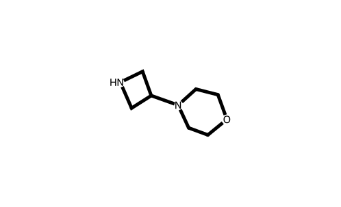 C1CN(C2CNC2)CCO1